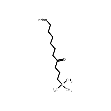 CCCCCCCCCCCCCCCC(=O)CCC[N+](C)(C)C